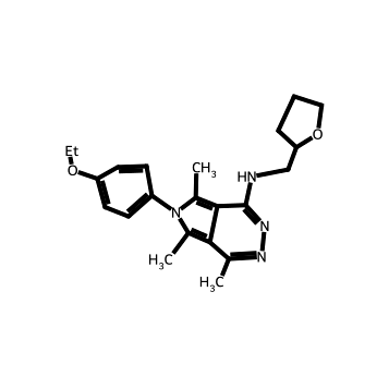 CCOc1ccc(-n2c(C)c3c(C)nnc(NCC4CCCO4)c3c2C)cc1